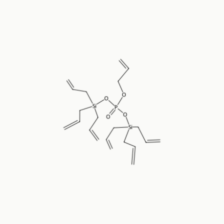 C=CCOP(=O)(O[Si](CC=C)(CC=C)CC=C)O[Si](CC=C)(CC=C)CC=C